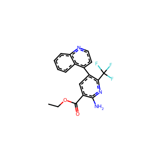 CCOC(=O)c1cc(-c2ccnc3ccccc23)c(C(F)(F)F)nc1N